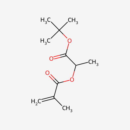 C=C(C)C(=O)OC(C)C(=O)OC(C)(C)C